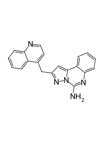 Nc1nc2ccccc2c2cc(Cc3ccnc4ccccc34)nn12